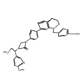 COc1ccc(CN2CCCc3ccc(-c4ccc(C5CN(C(CC(=O)O)c6ccc(OC)nc6)C5=O)cc4)nc32)cc1